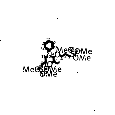 CO[Si](CCCOC(C(C)O)N(CCC[Si](OC)(OC)OC)c1ccccc1)(OC)OC